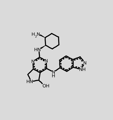 N[C@H]1CCCC[C@H]1Nc1nc2c(c(Nc3ccc4cn[nH]c4c3)n1)C(O)NC2